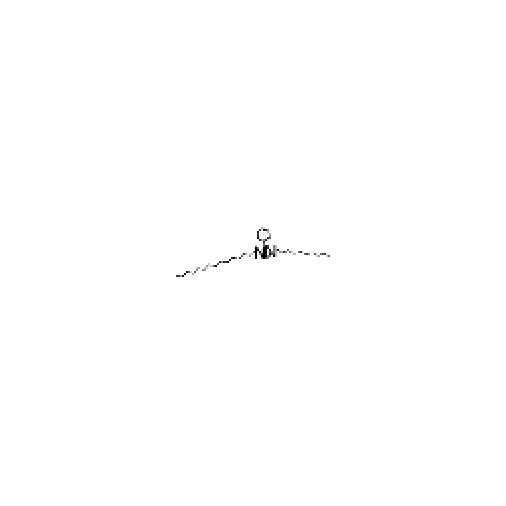 CCCCCCCCCCCCCCCN1C=CN(CCCCCCCCCC)C1c1ccccc1